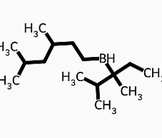 CCC(C)(BCCC(C)CC(C)C)C(C)C